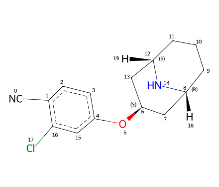 N#Cc1ccc(O[C@@H]2C[C@H]3CCC[C@@H](C2)N3)cc1Cl